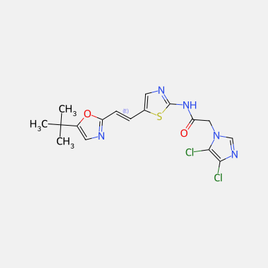 CC(C)(C)c1cnc(/C=C/c2cnc(NC(=O)Cn3cnc(Cl)c3Cl)s2)o1